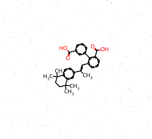 C/C(=C\c1cccc(C(=O)O)c1-c1cccc(C(=O)O)c1)c1ccc2c(c1)C(C)(C)CCC2(C)C